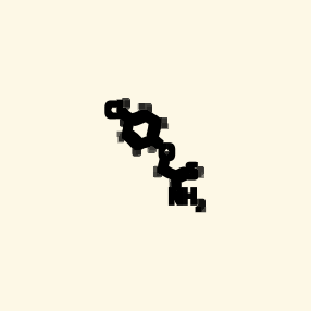 NC(=S)COc1ccc(Cl)cc1